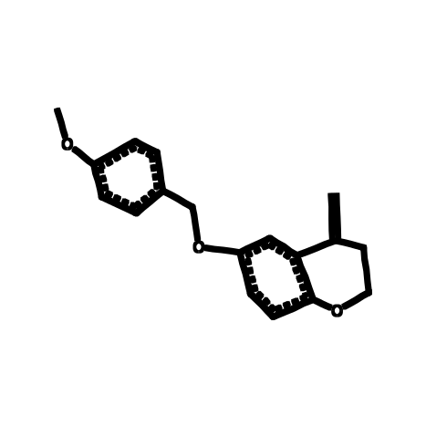 C=C1CCOc2ccc(OCc3ccc(OC)cc3)cc21